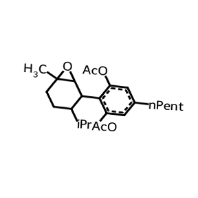 CCCCCc1cc(OC(C)=O)c(C2C(C(C)C)CCC3(C)OC23)c(OC(C)=O)c1